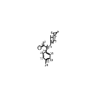 CC(=O)[C@H](CNCC1CC1)c1ccc(C)cc1